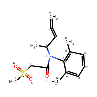 C=C=CC(C)N(C(=O)CS(C)(=O)=O)c1c(C)cccc1C